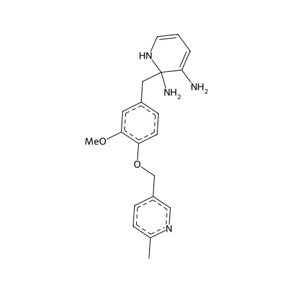 COc1cc(CC2(N)NC=CC=C2N)ccc1OCc1ccc(C)nc1